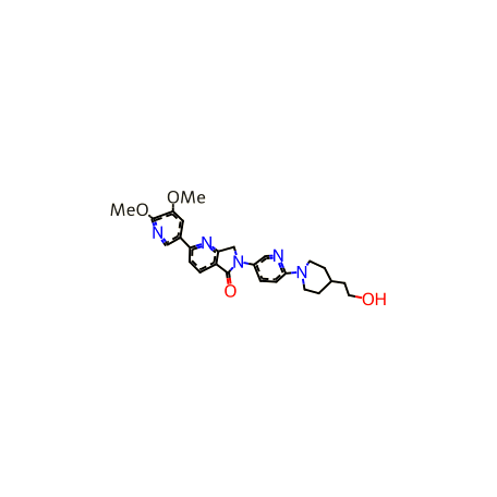 COc1cc(-c2ccc3c(n2)CN(c2ccc(N4CCC(CCO)CC4)nc2)C3=O)cnc1OC